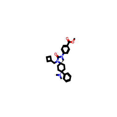 COC(=O)c1ccc(N2C[C@]3(CC[C@@](c4ccccc4)(N(C)C)CC3)N(CC3CCC3)C2=O)cc1